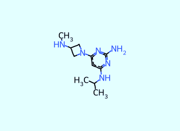 CNC1CN(c2cc(NC(C)C)nc(N)n2)C1